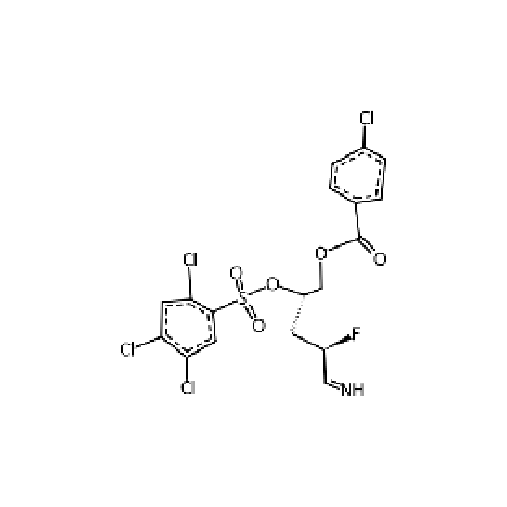 N=C[C@H](F)C[C@@H](COC(=O)c1ccc(Cl)cc1)OS(=O)(=O)c1cc(Cl)c(Cl)cc1Cl